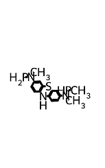 CPN(C)c1ccc2c(c1)Sc1cc(N(C)P)ccc1N2